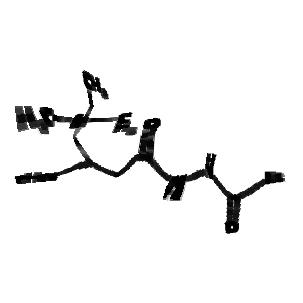 CCCCCC[CH](CC(=O)NNC(=O)CC)[Sn]([CH3])([CH3])[CH3]